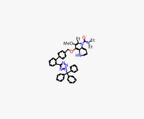 CCC1=C(OC)C(OCc2ccc(-c3ccccc3-c3nnn(C(c4ccccc4)(c4ccccc4)c4ccccc4)n3)cc2)=C2NC=CC=C2N1C(=O)N(CC)CC